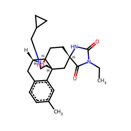 CCN1C(=O)N[C@]2(CC[C@@]3(O)[C@H]4Cc5ccc(C)cc5[C@@]3(CCN4CC3CC3)C2)C1=O